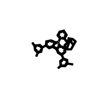 Cc1cc(C)cc(-c2ccc3c(c2)c2cc(-c4cc(C)cc(C)c4)ccc2n3-c2ccccc2C23CC4CC(CC(C4)C2)C3)c1